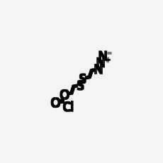 [N-]=[N+]=NCCSSCCOC(=O)Cl